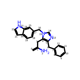 C=C(N)Cc1c(Cc2ccccc2)ncn1Cc1ccc2cc[nH]c2c1